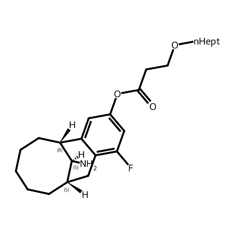 CCCCCCCOCCC(=O)Oc1cc(F)c2c(c1)[C@H]1CCCCC[C@@H](C2)[C@@H]1N